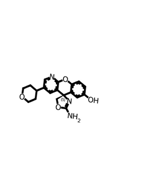 NC1=N[C@@]2(CO1)c1cc(O)ccc1Oc1ncc(C3CCOCC3)cc12